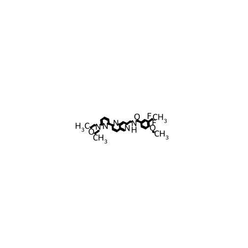 CCOc1ccc(C(=O)NCc2cc3nc(-c4cccc(N5C[C@@H](C)O[C@@H](C)C5)n4)ccc3cn2)cc1C(C)(F)F